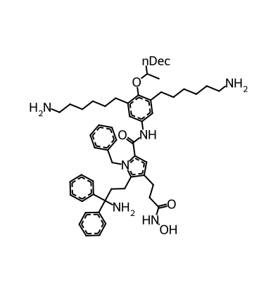 CCCCCCCCCCC(C)Oc1c(CCCCCCN)cc(NC(=O)c2cc(CCC(=O)NO)c(CCC(N)(c3ccccc3)c3ccccc3)n2Cc2ccccc2)cc1CCCCCCN